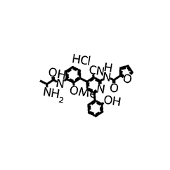 COc1c(NC(=O)C(C)N)cccc1-c1cc(-c2ccccc2O)nc(NC(=O)c2ccco2)c1C#N.Cl